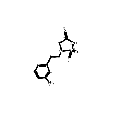 Nc1cccc(CCN2CC(=O)NS2(=O)=O)c1